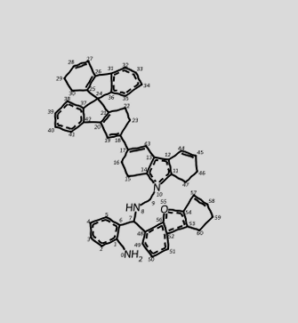 Nc1ccccc1C(NCn1c2c(c3c1CCC(C1=CC4=C(CC1)C1(C5=C(C=CCC5)c5ccccc51)c1ccccc14)=C3)C=CCC2)c1cccc2c3c(oc12)C=CCC3